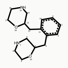 c1ccc(CC2CNCCO2)c(CC2CNCCO2)c1